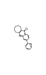 O=c1c2c(nc3cc(-c4ccccn4)ccn13)CCCCC2